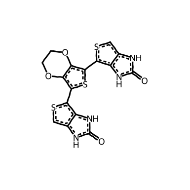 O=c1[nH]c2csc(-c3sc(-c4scc5[nH]c(=O)[nH]c45)c4c3OCCO4)c2[nH]1